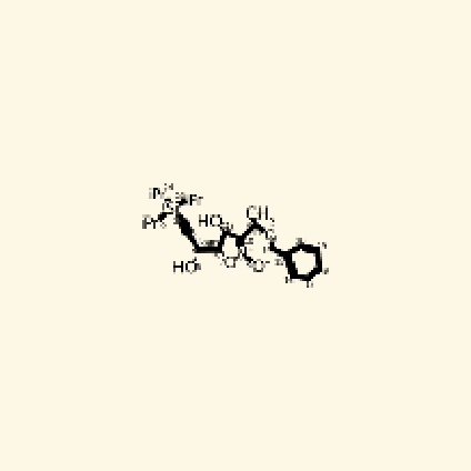 CC(C)[Si](C#C[C@@H](O)[C@H]1O[N+]([O-])=C([C@@H](C)OCc2ccccc2)[C@H]1O)(C(C)C)C(C)C